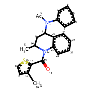 CC(=O)N(c1ccccc1)C1CC(C)N(C(=O)c2sccc2C)c2ccccc21